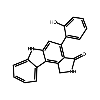 O=C1NCc2c1c(-c1ccccc1O)cc1[nH]c3ccccc3c21